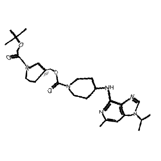 Cc1cc2c(ncn2C(C)C)c(NC2CCN(C(=O)O[C@H]3CCN(C(=O)OC(C)(C)C)C3)CC2)n1